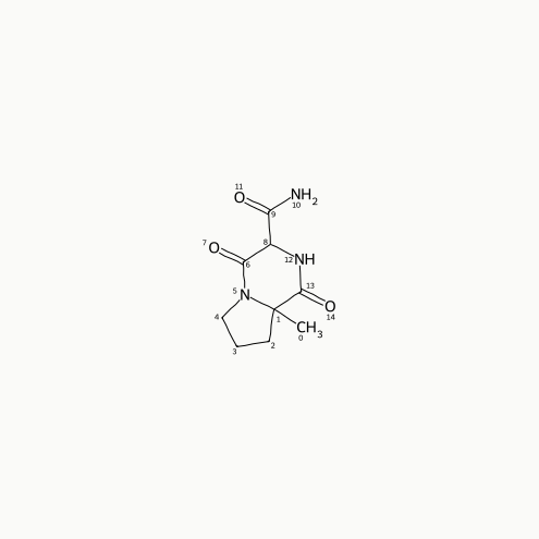 CC12CCCN1C(=O)C(C(N)=O)NC2=O